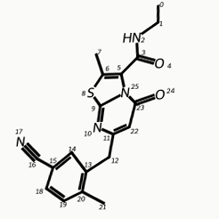 CCNC(=O)c1c(C)sc2nc(Cc3cc(C#N)ccc3C)cc(=O)n12